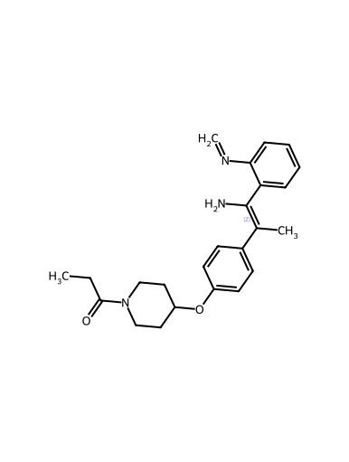 C=Nc1ccccc1/C(N)=C(\C)c1ccc(OC2CCN(C(=O)CC)CC2)cc1